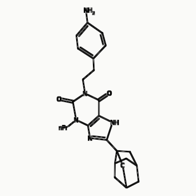 CCCn1c(=O)n(CCc2ccc(N)cc2)c(=O)c2[nH]c(C34CC5CC(CC3C5)C4)nc21